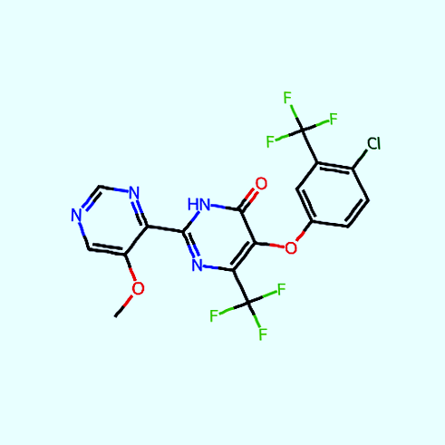 COc1cncnc1-c1nc(C(F)(F)F)c(Oc2ccc(Cl)c(C(F)(F)F)c2)c(=O)[nH]1